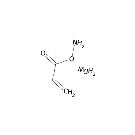 C=CC(=O)ON.[MgH2]